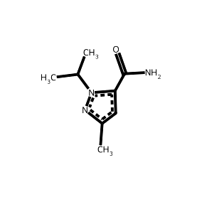 Cc1cc(C(N)=O)n(C(C)C)n1